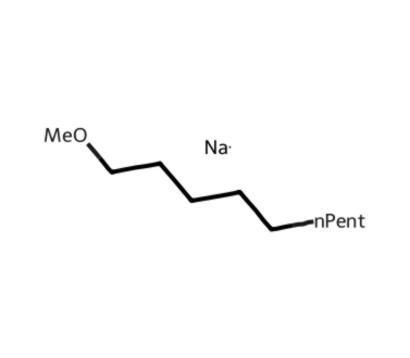 CCCCCCCCCCOC.[Na]